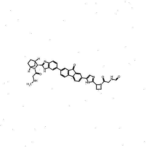 CNCC(=O)N1[C@@H]2CC[C@@H](C2)[C@H]1c1nc2ccc(-c3ccc4c(c3)C(=O)c3cc(-c5cnc(C6CCN6C(=O)CNC=O)[nH]5)ccc3-4)cc2[nH]1